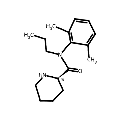 CCCN(C(=O)[C@H]1CCCCN1)c1c(C)cccc1C